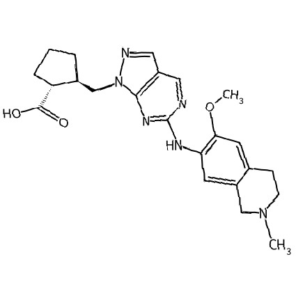 COc1cc2c(cc1Nc1ncc3cnn(C[C@@H]4CCC[C@H]4C(=O)O)c3n1)CN(C)CC2